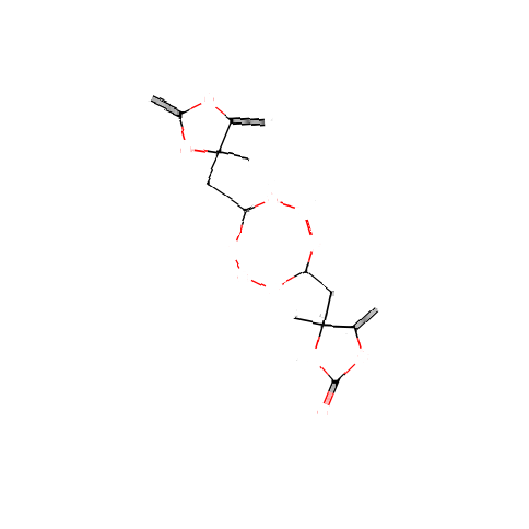 C=C1OC(=C)C(C)(CC2OOOC(CC3(C)OC(=O)OC3=C)OOO2)O1